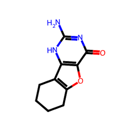 Nc1nc(=O)c2oc3c(c2[nH]1)CCCC3